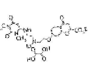 CCOC(=O)c1cc(=O)c2ccc(OCCN(CC)CCNc3cc(=O)n(C)c(=O)n3C)cc2o1.O=C(O)C(=O)O